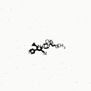 COCCC(=O)N1CCN(c2nc(C3CC3)c(-c3c[c]ncc3)cc2C#N)CC1C